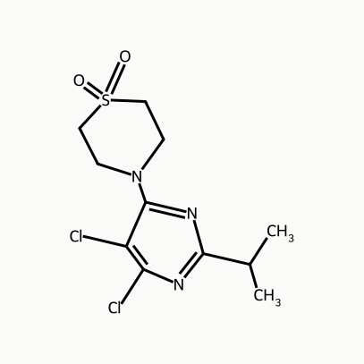 CC(C)c1nc(Cl)c(Cl)c(N2CCS(=O)(=O)CC2)n1